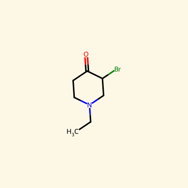 CCN1CCC(=O)C(Br)C1